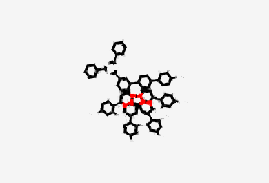 N#Cc1ccc(-c2ccc(-c3cc(-c4nc(-c5ccccc5)nc(-c5ccccc5)n4)ccc3-n3c4ccc(-c5ccc(C#N)cc5C#N)cc4c4cc(-c5ccc(C#N)cc5C#N)ccc43)c(-n3c4ccc(-c5ccc(C#N)cc5C#N)cc4c4cc(-c5ccc(C#N)cc5C#N)ccc43)c2)cc1